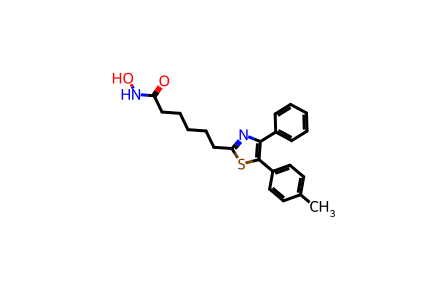 Cc1ccc(-c2sc(CCCCCC(=O)NO)nc2-c2ccccc2)cc1